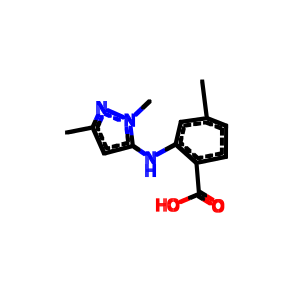 Cc1ccc(C(=O)O)c(Nc2cc(C)nn2C)c1